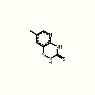 Cc1cnc2c(c1)SNC(=S)N2